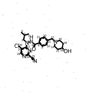 CC(C)CN(NC(=O)c1ccc(CN2CCC(O)CC2)cc1)c1nc(C#N)ncc1Cl